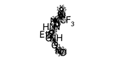 CCc1cc(Nc2nccn3c(-c4cn(C5CCC5)nc4C(F)(F)F)cnc23)ccc1C(=O)NCCOCCN1CCOCC1